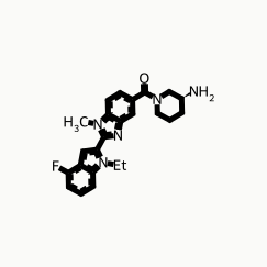 CCn1c(-c2nc3cc(C(=O)N4CCC[C@@H](N)C4)ccc3n2C)cc2c(F)cccc21